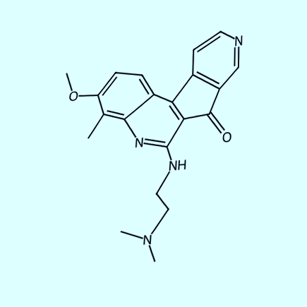 COc1ccc2c3c(c(NCCN(C)C)nc2c1C)C(=O)c1cnccc1-3